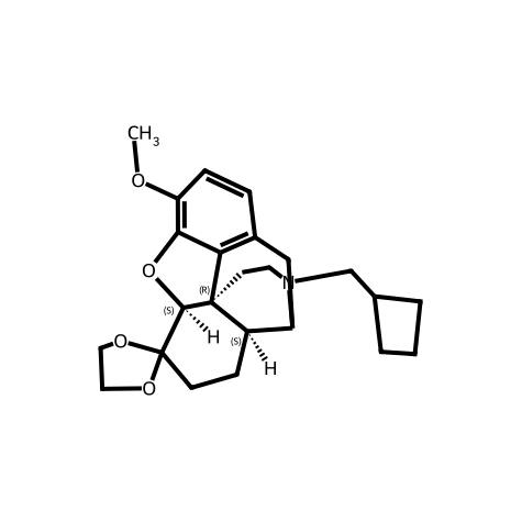 COc1ccc2c3c1O[C@@H]1C4(CC[C@@H]5C(C2)N(CC2CCC2)CC[C@]351)OCCO4